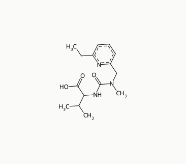 CCc1cccc(CN(C)C(=O)NC(C(=O)O)C(C)C)n1